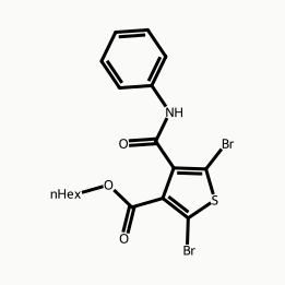 CCCCCCOC(=O)c1c(Br)sc(Br)c1C(=O)Nc1ccccc1